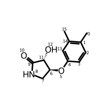 Cc1ccc(O[C@H]2CNC(=O)[C@@H]2O)cc1C